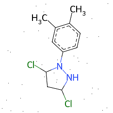 Cc1ccc(N2NC(Cl)CC2Cl)cc1C